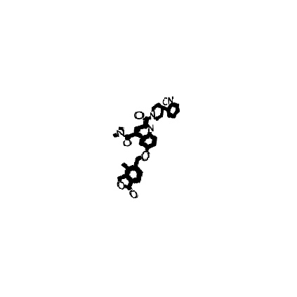 Cc1c(COc2ccc3nc(C(=O)N4CCC(C#N)(c5ccccc5)CC4)cc(C(=O)N(C)C)c3c2)ccc2c1COC2=O